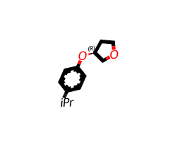 CC(C)c1ccc(O[C@@H]2CCOC2)cc1